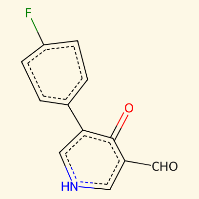 O=Cc1c[nH]cc(-c2ccc(F)cc2)c1=O